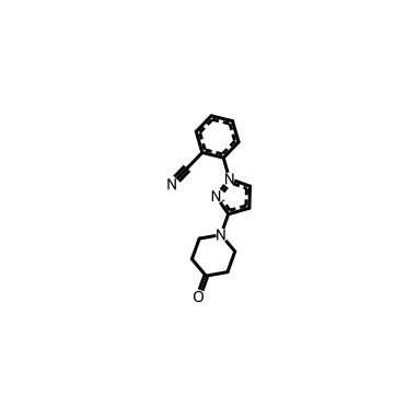 N#Cc1ccccc1-n1ccc(N2CCC(=O)CC2)n1